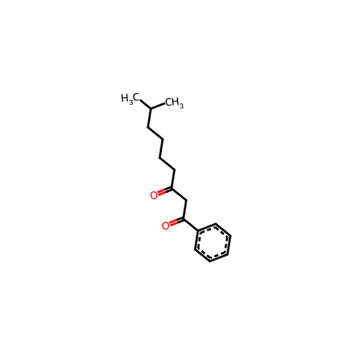 CC(C)CCCCC(=O)CC(=O)c1ccccc1